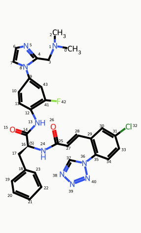 CN(C)Cc1nccn1-c1ccc(NC(=O)[C@H](Cc2ccccc2)NC(=O)C=Cc2cc(Cl)ccc2-n2cnnn2)c(F)c1